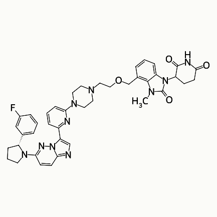 Cn1c(=O)n(C2CCC(=O)NC2=O)c2cccc(COCCN3CCN(c4cccc(-c5cnc6ccc(N7CCC[C@@H]7c7cccc(F)c7)nn56)n4)CC3)c21